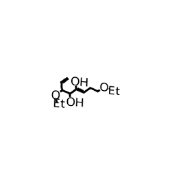 C=CC(OCC)C(O)C(O)=CCCOCC